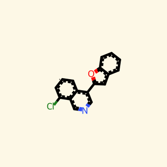 Clc1c[c]cc2c(-c3cc4ccccc4o3)cncc12